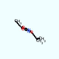 CCCCCCCC[C@H]1CO[C@H](c2ccc(-c3ncc(OCCCCCCCC(C)CCC)cn3)cc2)OC1